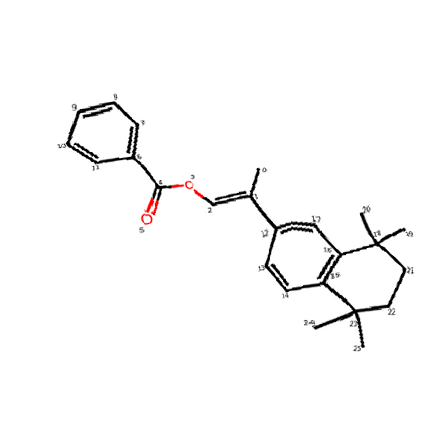 CC(=COC(=O)c1ccccc1)c1ccc2c(c1)C(C)(C)CCC2(C)C